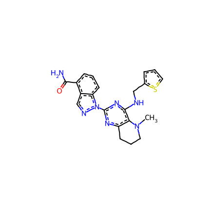 CN1CCCc2nc(-n3ncc4c(C(N)=O)cccc43)nc(NCc3cccs3)c21